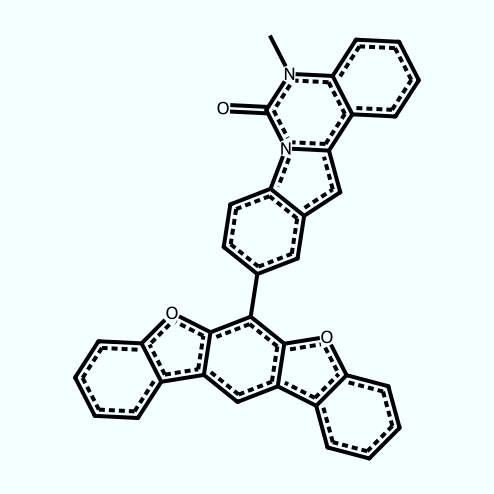 Cn1c(=O)n2c3ccc(-c4c5oc6ccccc6c5cc5c4oc4ccccc45)cc3cc2c2ccccc21